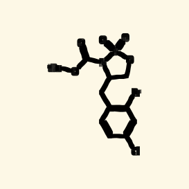 CC(C)(C)OC(=O)N1C(Cc2ccc(Cl)cc2Br)COS1(=O)=O